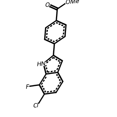 COC(=O)c1ccc(-c2cc3ccc(Cl)c(F)c3[nH]2)cc1